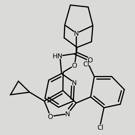 O=C(Nc1ccccn1)N1C2CCC1CC(OCc1c(-c3c(Cl)cccc3Cl)noc1C1CC1)C2